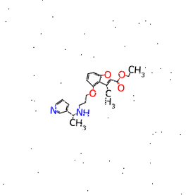 CCOC(=O)c1oc2cccc(OCCCNC(C)c3cccnc3)c2c1C